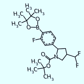 CC(C)(C)OC(=O)N1CC(C(F)F)CC1c1ccc(B2OC(C)(C)C(C)(C)O2)c(F)c1